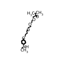 CCNc1ccc(OCCCCOCCOCCOCC(=O)C(C)C)cc1